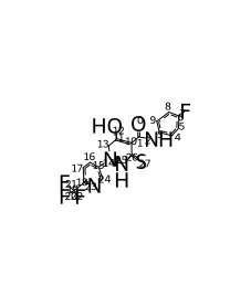 O=C(Nc1ccc(F)cc1)C1=C(O)CN(c2ccc(C(F)(F)F)nc2)NC1=S